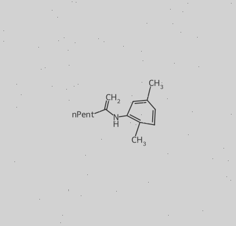 C=C(CCCCC)Nc1cc(C)ccc1C